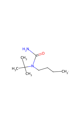 [CH2]CCCN(C(N)=O)C(C)(C)C